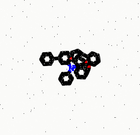 C1#CC2c3cccc4c3-c3ccccc3-c3cccc-4c3C2C=C1N(c1ccccc1)c1cccc(-c2ccccc2)c1